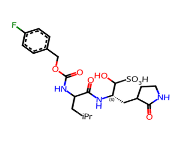 CC(C)CC(NC(=O)OCc1ccc(F)cc1)C(=O)N[C@@H](CC1CCNC1=O)C(O)S(=O)(=O)O